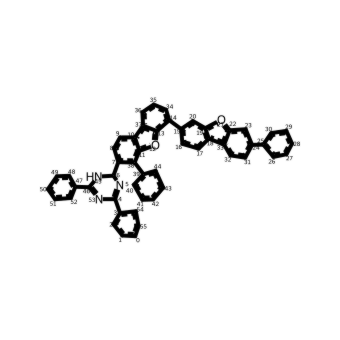 c1ccc(C2=NC(c3ccc4c(oc5c(-c6ccc7c(c6)oc6cc(-c8ccccc8)ccc67)cccc54)c3-c3ccccc3)NC(c3ccccc3)=N2)cc1